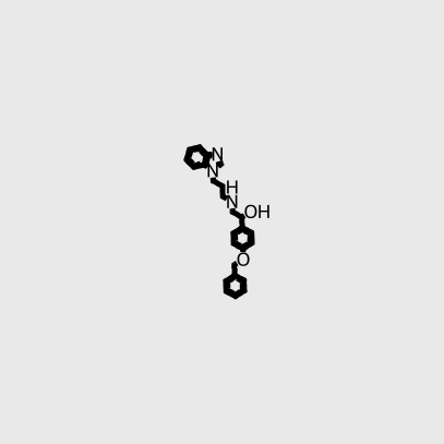 OC(CNCCCn1cnc2ccccc21)c1ccc(OCc2ccccc2)cc1